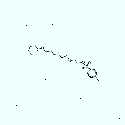 Cc1ccc(S(=O)(=O)OCCOCCOCCCOC2CCCCO2)cc1